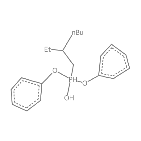 CCCCC(CC)C[PH](O)(Oc1ccccc1)Oc1ccccc1